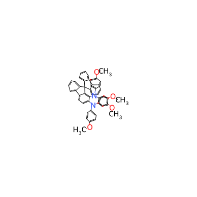 COc1ccc(N(c2ccc(OC)cc2)c2ccc3c(c2N(c2ccc(OC)cc2)c2ccc(OC)cc2)C2(c4ccccc4-c4ccccc42)c2ccccc2-3)cc1